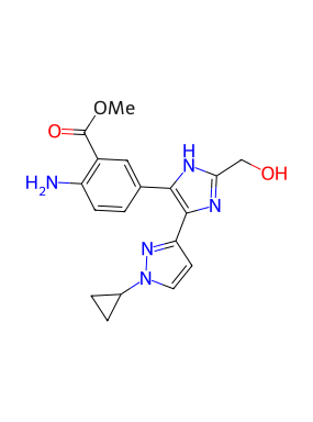 COC(=O)c1cc(-c2[nH]c(CO)nc2-c2ccn(C3CC3)n2)ccc1N